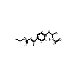 CCOC(=O)/C=C(\C)c1ccc(CC(C)NC(C)=O)cc1